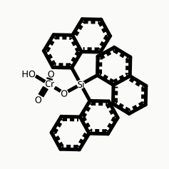 [O]=[Cr](=[O])([OH])[O][Si](c1cccc2ccccc12)(c1cccc2ccccc12)c1cccc2ccccc12